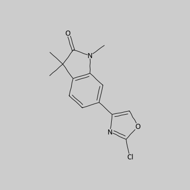 CN1C(=O)C(C)(C)c2ccc(-c3coc(Cl)n3)cc21